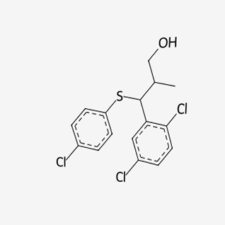 CC(CO)C(Sc1ccc(Cl)cc1)c1cc(Cl)ccc1Cl